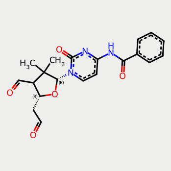 CC1(C)C(C=O)[C@@H](CC=O)O[C@H]1n1ccc(NC(=O)c2ccccc2)nc1=O